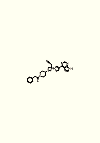 N#CCC1(n2cc(-c3ncnc4[nH]ccc34)cn2)CN(C2CCN(C(=O)Cc3ccccc3)CC2)C1